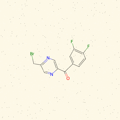 O=C(c1ccc(F)c(F)c1)c1cnc(CBr)cn1